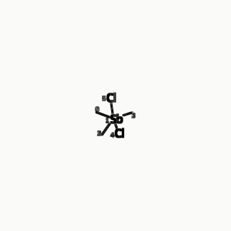 [CH3][Sb]([CH3])([CH3])([Cl])[Cl]